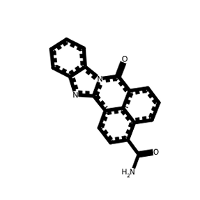 NC(=O)c1ccc2c3c1cccc3c(=O)n1c3ccccc3nc21